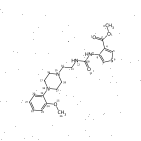 COC(=O)c1cscc1NC(=O)NCCN1CCN(c2ccccc2OC)CC1